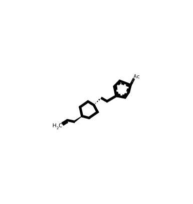 C=CC[C@H]1CC[C@H](CCc2ccc(C(C)=O)cc2)CC1